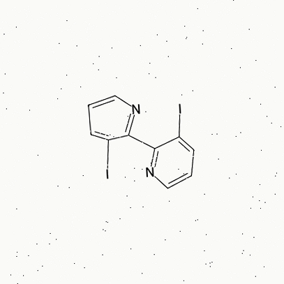 Ic1cccnc1-c1ncccc1I